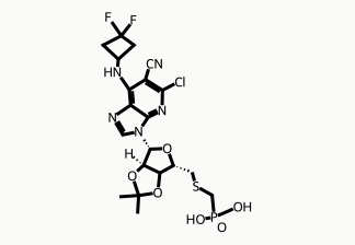 CC1(C)OC2[C@@H](O1)[C@H](n1cnc3c(NC4CC(F)(F)C4)c(C#N)c(Cl)nc31)O[C@@H]2CSCP(=O)(O)O